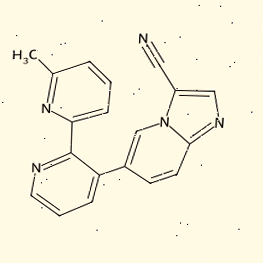 Cc1cccc(-c2ncccc2-c2ccc3ncc(C#N)n3c2)n1